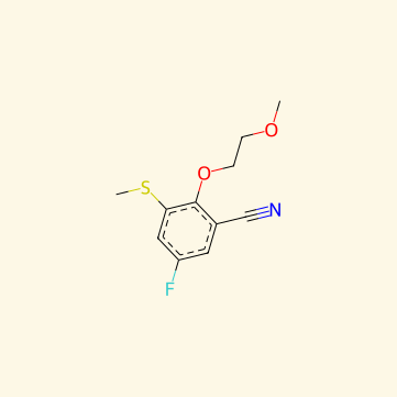 COCCOc1c(C#N)cc(F)cc1SC